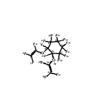 FC(F)=C(F)OC1(F)C(F)(F)C(F)(F)C(F)(F)C(F)(F)C1(F)OC(F)=C(F)F